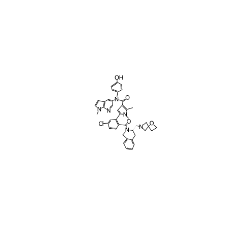 Cc1c(C(=O)N(c2ccc(O)cc2)c2cnc3c(ccn3C)c2)cc(-c2cc(Cl)ccc2C(=O)N2Cc3ccccc3C[C@H]2CN2CC3(CCO3)C2)n1C